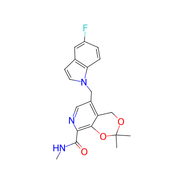 CNC(=O)c1ncc(Cn2ccc3cc(F)ccc32)c2c1OC(C)(C)OC2